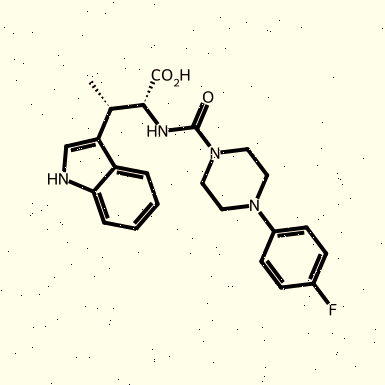 C[C@@H](c1c[nH]c2ccccc12)[C@@H](NC(=O)N1CCN(c2ccc(F)cc2)CC1)C(=O)O